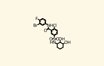 O=C(Nc1ccc(F)c(Br)c1)c1cc(S(=O)(=O)NC2CCCC(O)C2O)ccc1Cl